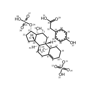 C[C@]12CC[C@H]3[C@@H](CCC4=C[C@@H](OS(=O)(=O)O)CC[C@@]43C)[C@@H]1CC[C@@H]2OS(=O)(=O)O.O=C(O)Cc1ccc(O)cc1